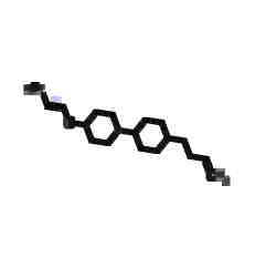 C=CCCC1CCC(C2CCC(O/C=C/CCC)CC2)CC1